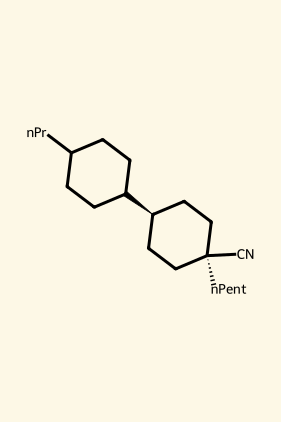 CCCCC[C@]1(C#N)CC[C@@H](C2CCC(CCC)CC2)CC1